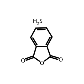 O=C1OC(=O)c2ccccc21.S